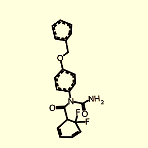 NC(=O)N(C(=O)C1C=CC=CC1(F)F)c1ccc(OCc2ccccc2)cc1